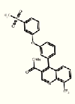 COC(=O)c1cnc2c(C(F)(F)F)cccc2c1-c1cccc(Oc2cccc(S(C)(=O)=O)c2)c1